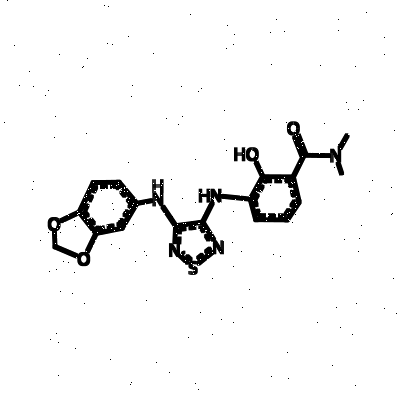 CN(C)C(=O)c1cccc(Nc2nsnc2Nc2ccc3c(c2)OCO3)c1O